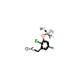 CC(C)[Si](Oc1cc(F)cc(CC=O)c1F)(C(C)C)C(C)C